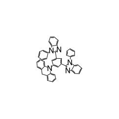 c1ccc(-n2c(-c3cc(-c4nc5ccccc5n4-c4ccccc4)cc(N4c5ccccc5Cc5ccccc54)c3)nc3ccccc32)cc1